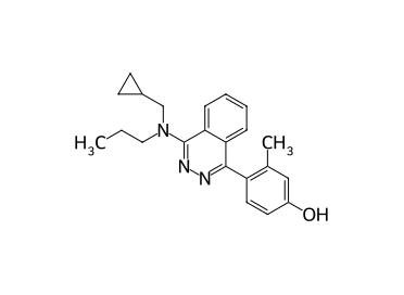 CCCN(CC1CC1)c1nnc(-c2ccc(O)cc2C)c2ccccc12